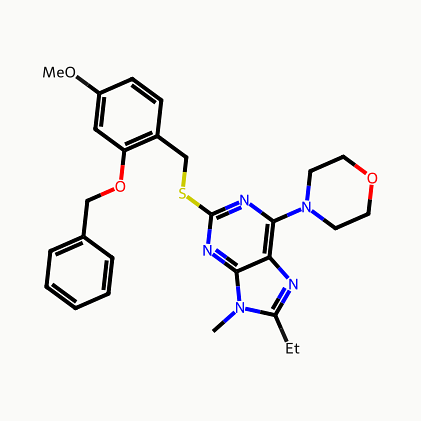 CCc1nc2c(N3CCOCC3)nc(SCc3ccc(OC)cc3OCc3ccccc3)nc2n1C